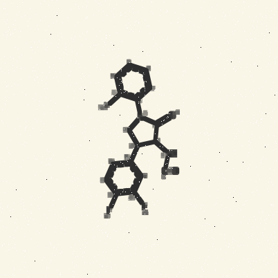 O=CNC1C(=O)N(c2ccccc2F)CC1c1ccc(F)c(F)c1